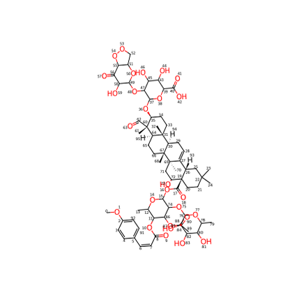 COc1ccc(/C=C\C(=O)OC2C(C)OC(OC(=O)[C@]34CCC(C)(C)C[C@H]3C3=CC[C@@H]5[C@@]6(C)CC[C@H](OC7OC(C(=O)O)C(O)C(O)C7OC7OC8COOC8C(=O)C7O)[C@@](C)(C=O)[C@@H]6CC[C@@]5(C)[C@]3(C)C[C@H]4O)C(OC3OC(C)C(O)C(O)C3O)C2OC(C)=O)cc1